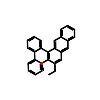 CCc1cc2cc3ccccc3cc2c(-c2ccccc2-c2ccccc2)c1CC